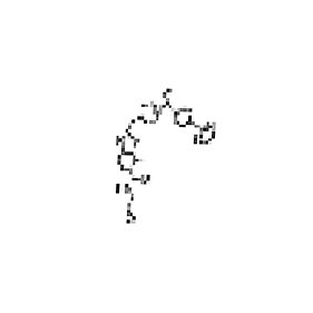 COCCNC(=O)c1ccc2nn(CC3CCN(C(=O)c4ccc(-c5ncco5)cc4)CC3)cc2c1C